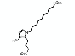 CCCCCCCCCCCCCCCCCCCN1C=CN(CCC)C1CCCCCCCCCCCCC